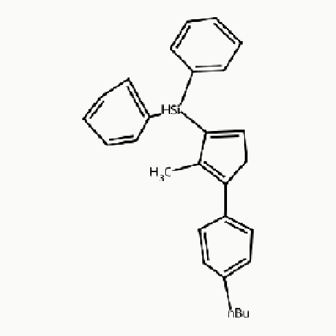 CCCCc1ccc(C2=C(C)C([SiH](c3ccccc3)c3ccccc3)=CC2)cc1